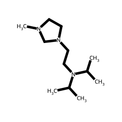 CC(C)N(CCN1CCN(C)C1)C(C)C